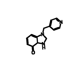 O=C1C=CC=C2C1NCN2Cc1ccncc1